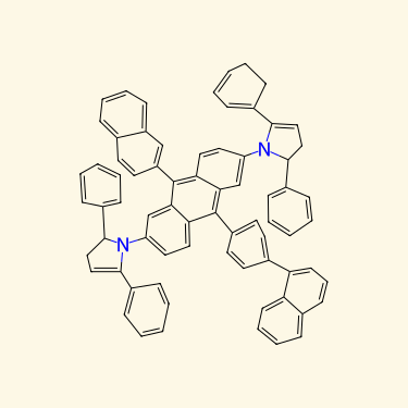 C1=CCCC(C2=CCC(c3ccccc3)N2c2ccc3c(-c4ccc5ccccc5c4)c4cc(N5C(c6ccccc6)=CCC5c5ccccc5)ccc4c(-c4ccc(-c5cccc6ccccc56)cc4)c3c2)=C1